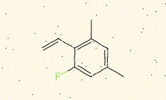 C=Cc1c(C)cc(C)cc1F